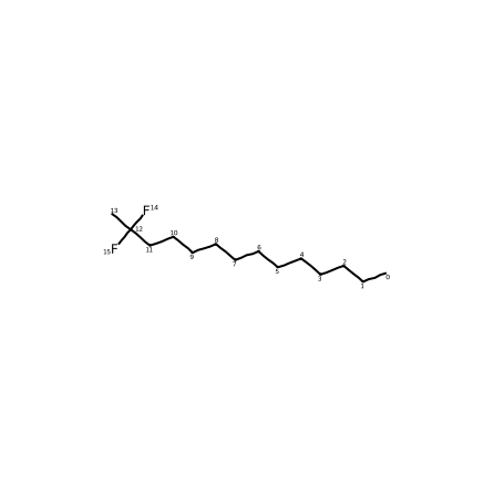 CCCCCCCCCCCCC(C)(F)F